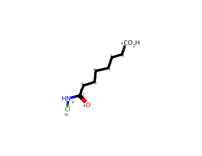 O=C(O)CCCCCCC(=O)NCl